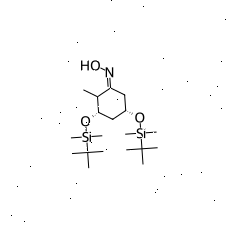 CC1/C(=N\O)C[C@H](O[Si](C)(C)C(C)(C)C)C[C@@H]1O[Si](C)(C)C(C)(C)C